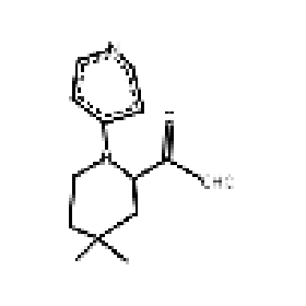 CC1(C)CCN(c2ccncc2)C(C(=O)C=O)C1